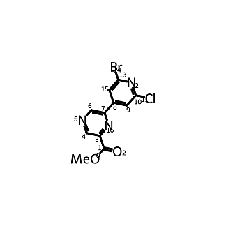 COC(=O)c1cncc(-c2cc(Cl)nc(Br)c2)n1